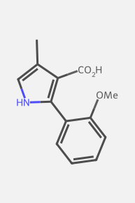 COc1ccccc1-c1[nH]cc(C)c1C(=O)O